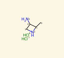 CC1NCC1N.Cl.Cl